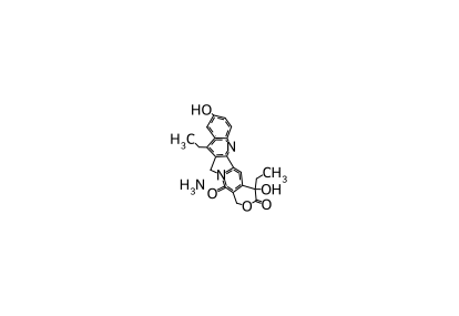 CCc1c2c(nc3ccc(O)cc13)-c1cc3c(c(=O)n1C2)COC(=O)C3(O)CC.N